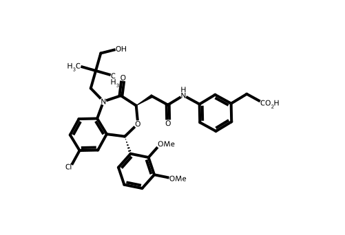 COc1cccc([C@H]2O[C@H](CC(=O)Nc3cccc(CC(=O)O)c3)C(=O)N(CC(C)(C)CO)c3ccc(Cl)cc32)c1OC